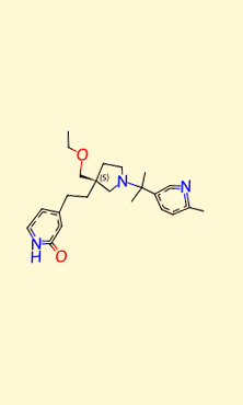 CCOC[C@@]1(CCc2cc[nH]c(=O)c2)CCN(C(C)(C)c2ccc(C)nc2)C1